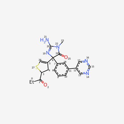 CCC(=O)C1CC(C2(c3cccc(-c4cncnc4)c3)N=C(N)N(C)C2=O)=CS1